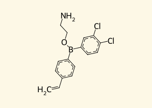 C=Cc1ccc(B(OCCN)c2ccc(Cl)c(Cl)c2)cc1